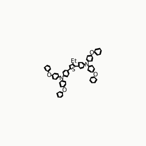 CCc1cc(-c2ccc(N(c3ccc(Oc4ccccc4)cc3)c3ccc(Oc4ccccc4)cc3)cc2)sc1-c1ccc(N(c2ccc(Oc3ccccc3)cc2)c2ccc(Oc3ccccc3)cc2)cc1